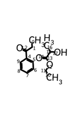 CCC(=O)c1ccccc1.CCOC(=O)C(C)O